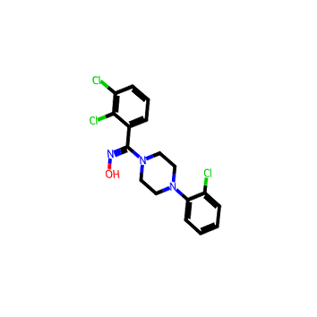 O/N=C(/c1cccc(Cl)c1Cl)N1CCN(c2ccccc2Cl)CC1